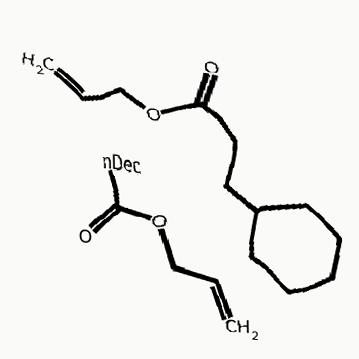 C=CCOC(=O)CCC1CCCCC1.C=CCOC(=O)CCCCCCCCCC